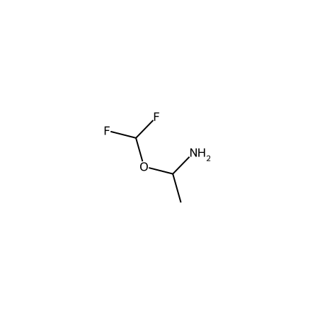 CC(N)OC(F)F